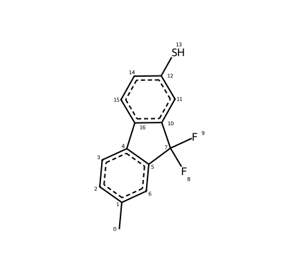 Cc1ccc2c(c1)C(F)(F)c1cc(S)ccc1-2